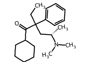 CCC(C[C@H](C)N(C)C)(C(=O)C1CCCCC1)c1ccccc1